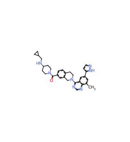 Cc1cc(-c2ccn[nH]2)cc2c(N3CCc4ccc(C(=O)N5CCC(NCC6CC6)CC5)cc4C3)ncnc12